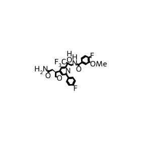 COc1cc(C(=O)NCC(O)(c2cc3c(c(-c4ccc(F)cc4)n2)OC[C@H]3CC(N)=O)C(F)(F)F)ccc1F